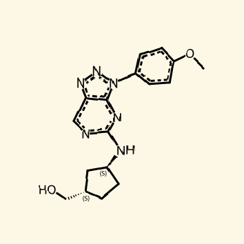 COc1ccc(-n2nnc3cnc(N[C@H]4CC[C@H](CO)C4)nc32)cc1